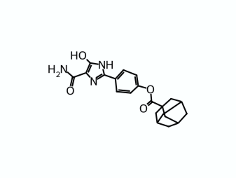 NC(=O)c1nc(-c2ccc(OC(=O)C34CC5CC(CC(C5)C3)C4)cc2)[nH]c1O